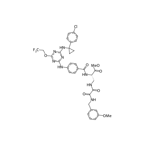 COC(=O)[C@H](CNC(=O)C(=O)NCc1cccc(OC)c1)NC(=O)c1ccc(Nc2nc(NC3(c4ccc(Cl)cc4)CC3)nc(OCC(F)(F)F)n2)cc1